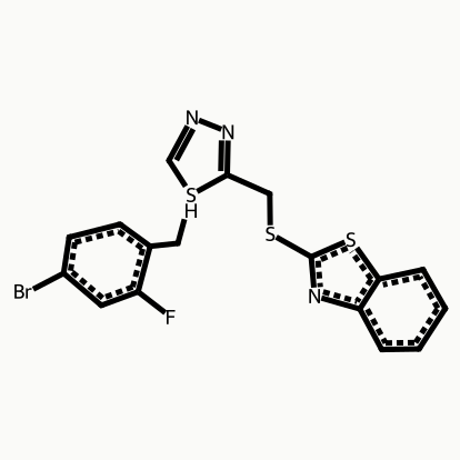 Fc1cc(Br)ccc1C[SH]1C=NN=C1CSc1nc2ccccc2s1